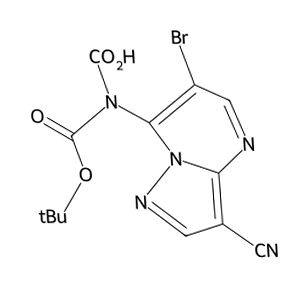 CC(C)(C)OC(=O)N(C(=O)O)c1c(Br)cnc2c(C#N)cnn12